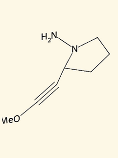 COC#CC1CCCN1N